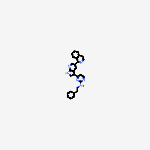 c1ccc(CCNc2nccc(-c3c[nH]c4ncc(-c5nccc6ccccc56)cc34)n2)cc1